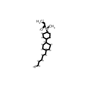 C=CC(=O)N(C)C1CCC(C2CCC(CCCCCF)CC2)CC1